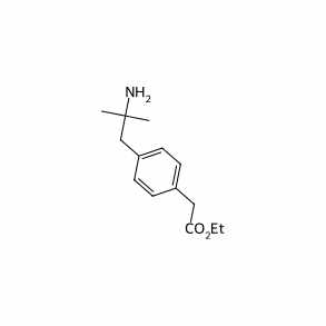 CCOC(=O)Cc1ccc(CC(C)(C)N)cc1